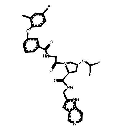 Cc1cc(F)ccc1Oc1cccc(C(=O)NCC(=O)N2C[C@H](OC(F)F)C[C@H]2C(=O)NCc2cc3cnccc3[nH]2)c1